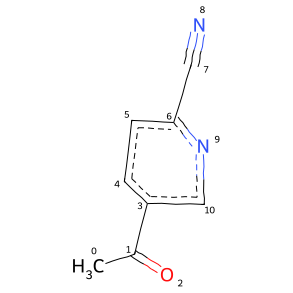 CC(=O)c1ccc(C#N)nc1